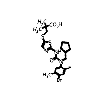 Cc1cc(N(CC2CCCC2)C(=O)Nc2ncc(SCC(C)(C)C(=O)O)s2)c(F)cc1Br